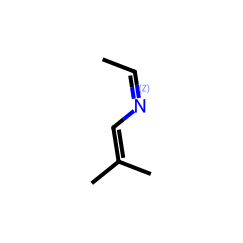 C/C=N\C=C(C)C